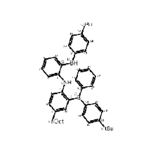 CCCCCCCCc1ccc(Nc2ccccc2Bc2ccc(C(C)CC)cc2)c(B(c2ccccc2)c2ccc(C(C)(C)C)cc2)c1